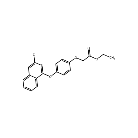 CCOC(=O)COc1ccc(Oc2nc(Cl)cc3ccccc23)cc1